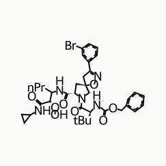 CCCC(NC(=O)[C@@H]1C[C@]2(CC(c3cccc(Br)c3)=NO2)CN1C(=O)[C@@H](NC(=O)OCc1ccccc1)C(C)(C)C)C(OO)C(=O)NC1CC1